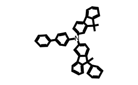 CC1(C)c2ccccc2-c2ccc(N(c3ccc(-c4ccccc4)cc3)c3ccc4c(c3)-c3ccccc3C4(C)c3ccccc3)cc21